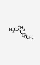 C=CC(=C)CCC1CCN(C)CC1